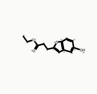 CCOC(=O)CCc1cc2cc(O)ccc2s1